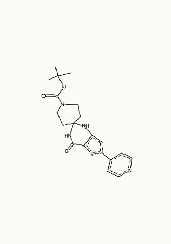 CC(C)(C)OC(=O)N1CCC2(CC1)NC(=O)c1sc(-c3ccncc3)cc1N2